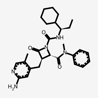 CC[C@@H](NC(=O)N1C(=O)[C@H](Cc2cc(N)ncc2C)[C@H]1C(=O)N(C)c1ccccc1)C1CCCCC1